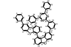 c1ccc(-c2ccc3sc4c(-c5cccc6oc7ccc(-c8cccc(-c9nc(-c%10ccccc%10)nc(-c%10ccccc%10)n9)c8)cc7c56)cccc4c3c2)cc1